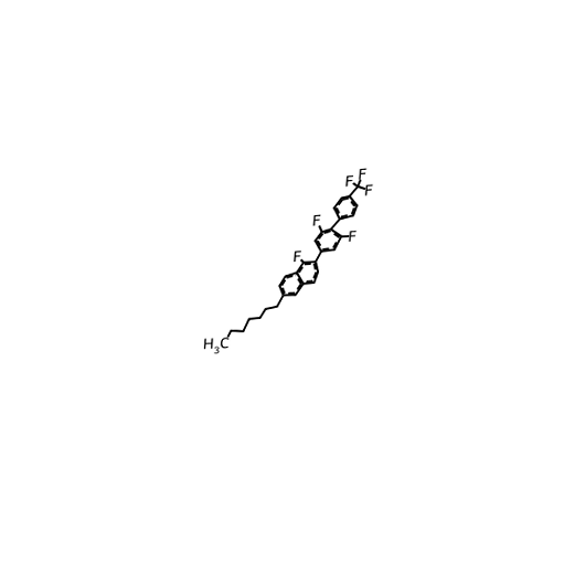 CCCCCCCc1ccc2c(F)c(-c3cc(F)c(-c4ccc(C(F)(F)F)cc4)c(F)c3)ccc2c1